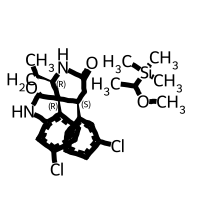 C=C(C)[C@H]1NC(=O)C[C@@H](c2cccc(Cl)c2)[C@]12C(=O)Nc1cc(Cl)ccc12.COC(C)[Si](C)(C)C